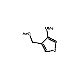 COCc1[c]occ1OC